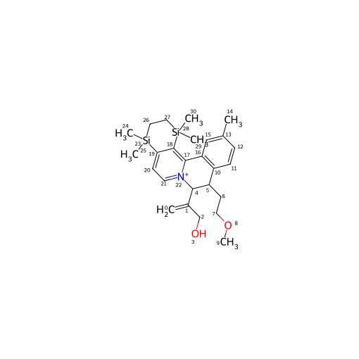 C=C(CO)C1C(CCOC)c2ccc(C)cc2-c2c3c(cc[n+]21)[Si](C)(C)CC[Si]3(C)C